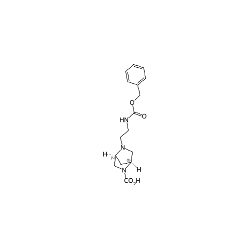 O=C(NCCN1C[C@@H]2C[C@H]1CN2C(=O)O)OCc1ccccc1